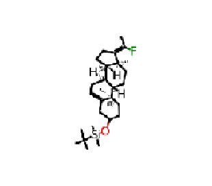 CC(F)=C1CC[C@H]2[C@@H]3CC=C4CC(O[Si](C)(C)C(C)(C)C)CC[C@]4(C)[C@H]3CC[C@]12C